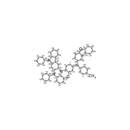 Cc1ccc(N(c2ccc3c(c2)Oc2cccc4c2B3c2cc3c5ccccc5n(-c5ccccc5)c3cc2N4c2ccccc2)c2ccc3oc4ccccc4c3c2)cc1